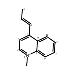 C/C=C/c1cc[n+](C)c2ccccc12